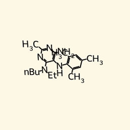 CCCCN(CC)c1nc(C)nc(N)c1Nc1c(C)cc(C)cc1C